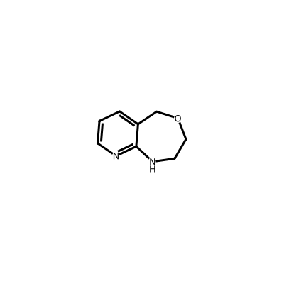 c1cnc2c(c1)COCCN2